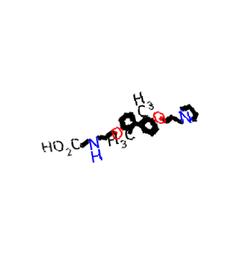 Cc1c(OCCCNCCC(=O)O)cccc1-c1cccc(OCCCN2CCCC2)c1C